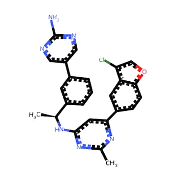 Cc1nc(N[C@@H](C)c2cccc(-c3cnc(N)nc3)c2)cc(-c2ccc3occ(Cl)c3c2)n1